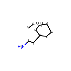 CC(=O)O.NCCC1CCCCC1